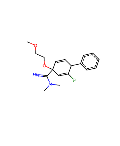 COCCOC1(C(=N)N(C)C)C=CC(c2ccccc2)C(F)=C1